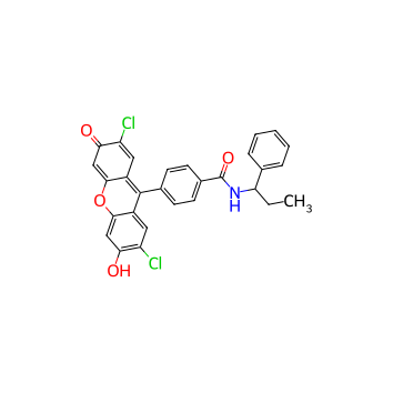 CCC(NC(=O)c1ccc(-c2c3cc(Cl)c(=O)cc-3oc3cc(O)c(Cl)cc23)cc1)c1ccccc1